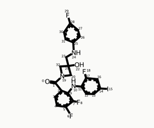 O=C(c1ccc(F)c(F)c1Nc1ccc(I)cc1F)N1CC(O)(CNc2ccc(F)cc2)C1